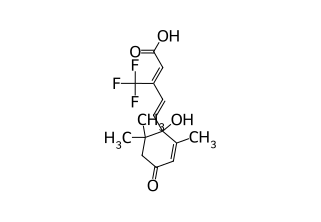 CC1=CC(=O)CC(C)(C)C1(O)/C=C/C(=C/C(=O)O)C(F)(F)F